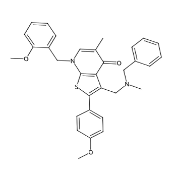 COc1ccc(-c2sc3c(c2CN(C)Cc2ccccc2)c(=O)c(C)cn3Cc2ccccc2OC)cc1